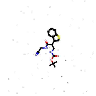 CC(C)(C)OC(=O)NCC(C(=O)NCC#N)c1csc2ccccc12